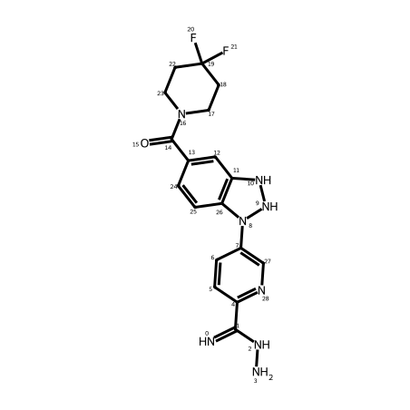 N=C(NN)c1ccc(N2NNc3cc(C(=O)N4CCC(F)(F)CC4)ccc32)cn1